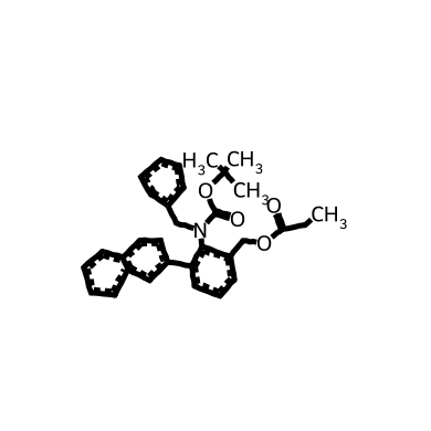 CCC(=O)OCc1cccc(-c2ccc3ccccc3c2)c1N(Cc1ccccc1)C(=O)OC(C)(C)C